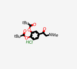 CNCC(=O)c1ccc(OC(=O)C(C)(C)C)c(OC(=O)C(C)(C)C)c1.Cl